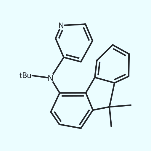 CC1(C)c2ccccc2-c2c(N(c3cccnc3)C(C)(C)C)cccc21